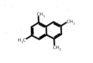 Cc1cc(C)c2cc(C)cc(C)c2c1